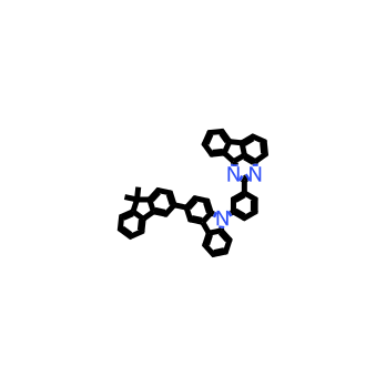 CC1(C)c2ccccc2-c2cc(-c3ccc4c(c3)c3ccccc3n4-c3cccc(-c4nc5c6c(cccc6n4)-c4ccccc4-5)c3)ccc21